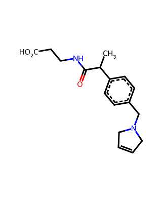 CC(C(=O)NCCC(=O)O)c1ccc(CN2CC=CC2)cc1